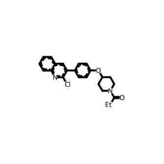 CCC(=O)N1CCC(Oc2ccc(-c3cc4ccccc4nc3Cl)cc2)CC1